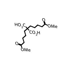 COC(=O)CCCCC(CCCCC(=O)OC)(C(=O)O)C(=O)O